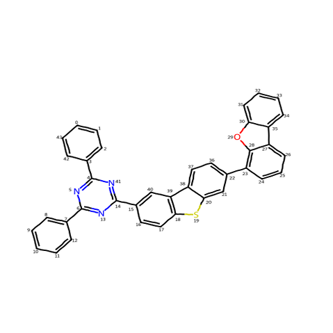 c1ccc(-c2nc(-c3ccccc3)nc(-c3ccc4sc5cc(-c6cccc7c6oc6ccccc67)ccc5c4c3)n2)cc1